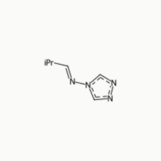 CC(C)/C=N/n1cnnc1